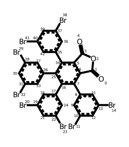 O=C1OC(=O)c2c1c(-c1cc(Br)cc(Br)c1)c(-c1cc(Br)cc(Br)c1)c(-c1cc(Br)cc(Br)c1)c2-c1cc(Br)cc(Br)c1